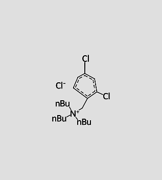 CCCC[N+](CCCC)(CCCC)Cc1ccc(Cl)cc1Cl.[Cl-]